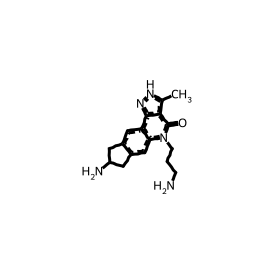 Cc1[nH]nc2c1c(=O)n(CCCN)c1cc3c(cc21)CC(N)C3